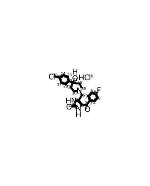 Cl.O=C(c1ccc(F)cc1)c1[nH]c(=O)[nH]c1CN1CCC(O)(c2ccc(Cl)cc2)CC1